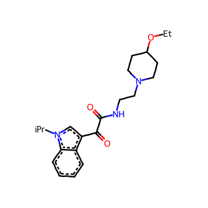 CCOC1CCN(CCNC(=O)C(=O)c2cn(C(C)C)c3ccccc23)CC1